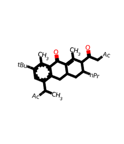 CCCC1CC2Cc3c(C(C)C(C)=O)cc(C(C)(C)C)c(C)c3C(=O)C2=C(C)C1C(=O)CC(C)=O